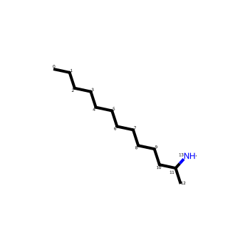 CCCCCCCCCCCC(C)[NH]